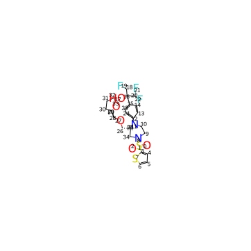 O=S(=O)(c1cccs1)N1CCN(c2ccc(C(O)(CF)C(F)F)cc2)[C@@H](COC[C@H]2CCCO2)C1